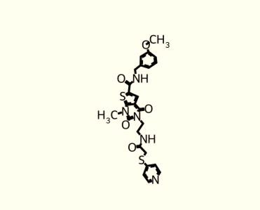 COc1cccc(CNC(=O)c2cc3c(=O)n(CCNC(=O)CSc4ccncc4)c(=O)n(C)c3s2)c1